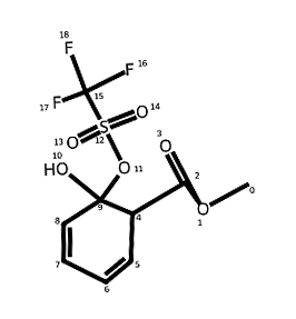 COC(=O)C1C=CC=CC1(O)OS(=O)(=O)C(F)(F)F